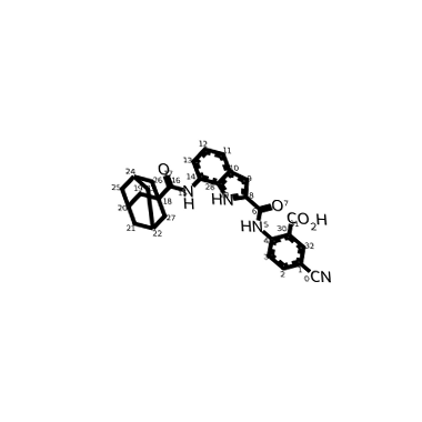 N#Cc1ccc(NC(=O)c2cc3cccc(NC(=O)C45CC6CC(CC(C6)C4)C5)c3[nH]2)c(C(=O)O)c1